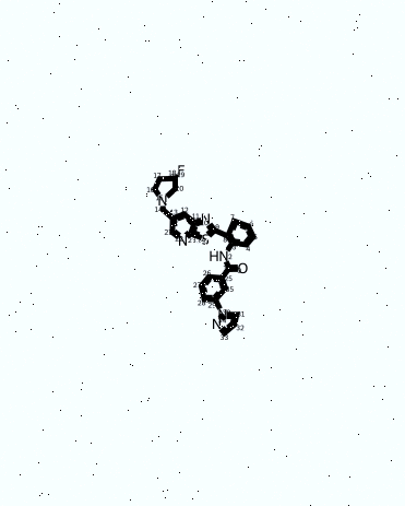 O=C(Nc1ccccc1-c1nc2cc(CN3CC[C@@H](F)C3)cnc2s1)c1cccc(-n2cccn2)c1